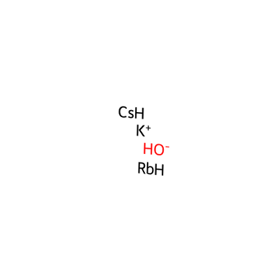 [CsH].[K+].[OH-].[RbH]